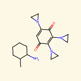 CC1CCCCC1N.O=C1C=C(N2CC2)C(=O)C(N2CC2)=C1N1CC1